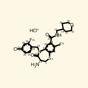 Cl.N[C@H]1CSc2cc(F)c(C(=O)NCC3CCOCC3)cc2N(Cc2ccc(Cl)cc2F)C1=O